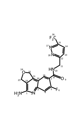 Nc1nc2cc(F)c(C(=O)NCc3ccc(C(F)(F)F)nn3)cc2c2c1COC2